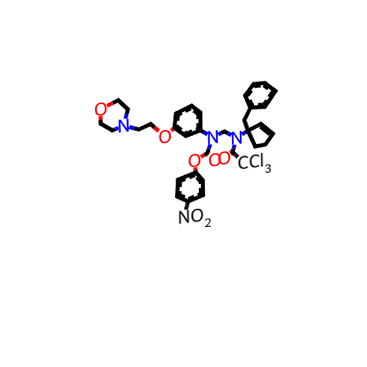 O=C(Oc1ccc([N+](=O)[O-])cc1)N(CN(C(=O)C(Cl)(Cl)Cl)C1(Cc2ccccc2)C=CCC1)c1cccc(OCCN2CCOCC2)c1